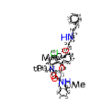 COc1ccccc1CNC(=O)CC1OC(c2cccc(OCCCNCCCc3ccccc3)c2OC)c2cc(Cl)ccc2N(CC(C)(C)C)C1=O